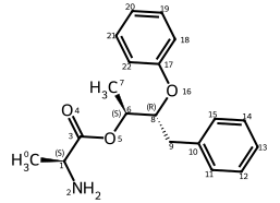 C[C@H](N)C(=O)O[C@@H](C)[C@@H](Cc1ccccc1)Oc1ccccc1